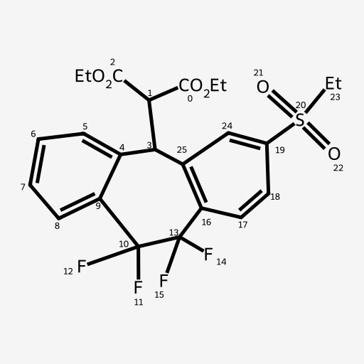 CCOC(=O)C(C(=O)OCC)C1c2ccccc2C(F)(F)C(F)(F)c2ccc(S(=O)(=O)CC)cc21